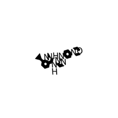 c1cc(C2CC2)c2nncc(Nc3ccnc(Nc4ccc(N5CCOCC5)cc4)n3)c2c1